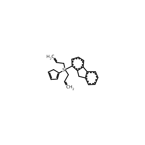 C=CC[Si](CC=C)(C1=CC=CC1)c1cccc2c1Cc1ccccc1-2